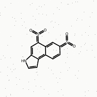 O=S(=O)=C1C=CC2=c3cc[nH]c3=CC(=S(=O)=O)C2=C1